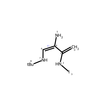 C=C(NI)/C(N)=C\NC(C)(C)C